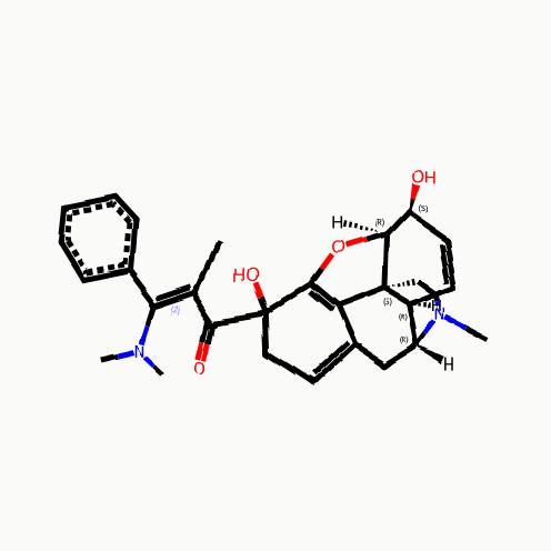 C/C(C(=O)C1(O)CC=C2C[C@@H]3[C@@H]4C=C[C@H](O)[C@@H]5OC1=C2[C@]45CCN3C)=C(\c1ccccc1)N(C)C